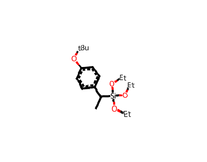 CCO[Si](OCC)(OCC)C(C)c1ccc(OC(C)(C)C)cc1